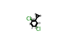 Clc1ccc(Cl)c([C]2CC2)c1